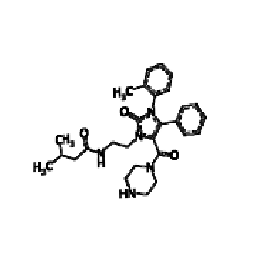 Cc1ccccc1-n1c(-c2ccccc2)c(C(=O)N2CCNCC2)n(CCNC(=O)CC(C)C)c1=O